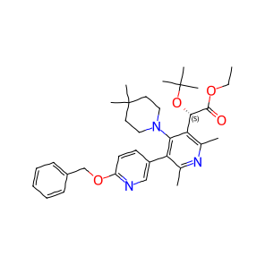 CCOC(=O)[C@@H](OC(C)(C)C)c1c(C)nc(C)c(-c2ccc(OCc3ccccc3)nc2)c1N1CCC(C)(C)CC1